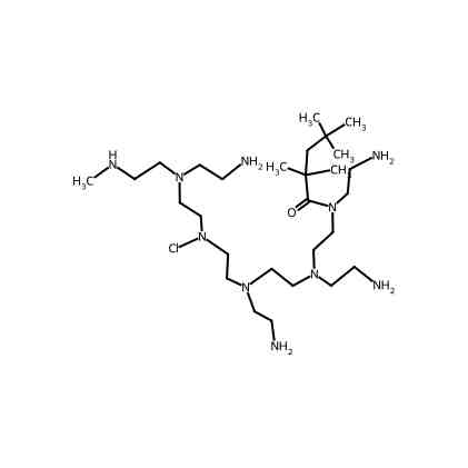 CNCCN(CCN)CCN(Cl)CCN(CCN)CCN(CCN)CCN(CCN)C(=O)C(C)(C)CC(C)(C)C